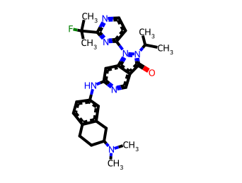 CC(C)n1c(=O)c2cnc(Nc3ccc4c(c3)CC(N(C)C)CC4)cc2n1-c1ccnc(C(C)(C)F)n1